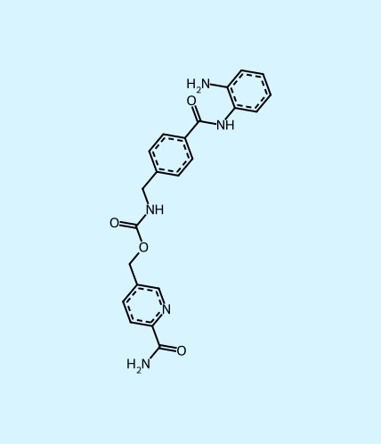 NC(=O)c1ccc(COC(=O)NCc2ccc(C(=O)Nc3ccccc3N)cc2)cn1